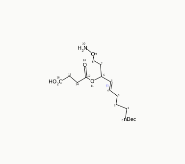 CCCCCCCCCCCCC/C=C/C(CCON)OC(=O)CCC(=O)O